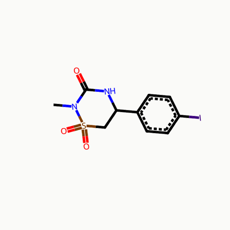 CN1C(=O)NC(c2ccc(I)cc2)CS1(=O)=O